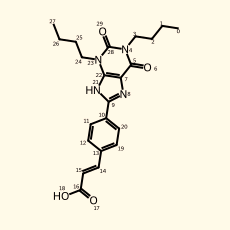 CCCCn1c(=O)c2nc(-c3ccc(/C=C/C(=O)O)cc3)[nH]c2n(CCCC)c1=O